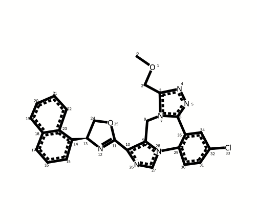 COCc1nnc2n1Cc1c(C3=N[C@@H](c4cccc5ccccc45)CO3)ncn1-c1ccc(Cl)cc1-2